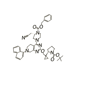 CC(C)(C)OC(=O)N1CCC[C@@H]1C1(COc2nc3c(c(N4CCN(C(=O)OCc5ccccc5)[C@@H](CC#N)C4)n2)CCN(c2cccc4ccccc24)C3)CC1